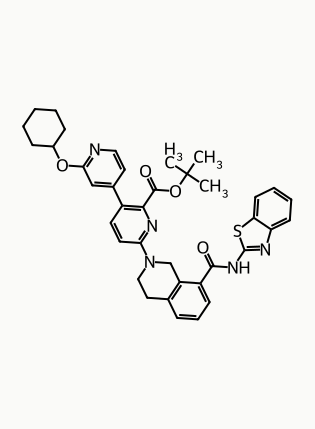 CC(C)(C)OC(=O)c1nc(N2CCc3cccc(C(=O)Nc4nc5ccccc5s4)c3C2)ccc1-c1ccnc(OC2CCCCC2)c1